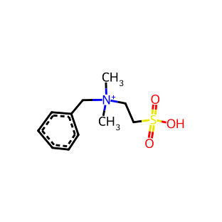 C[N+](C)(CCS(=O)(=O)O)Cc1ccccc1